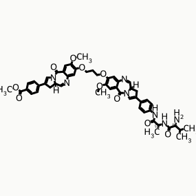 COC(=O)c1ccc(C2=CN3C(=O)c4cc(OC)c(OCCCOc5cc6c(cc5OC)C(=O)N5C=C(c7ccc(NC(=O)[C@H](C)NC(=O)[C@@H](N)C(C)C)cc7)C[C@H]5C=N6)cc4N=C[C@@H]3C2)cc1